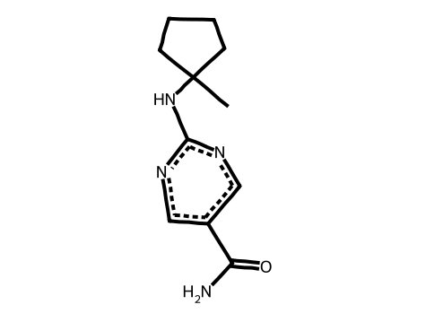 CC1(Nc2ncc(C(N)=O)cn2)CCCC1